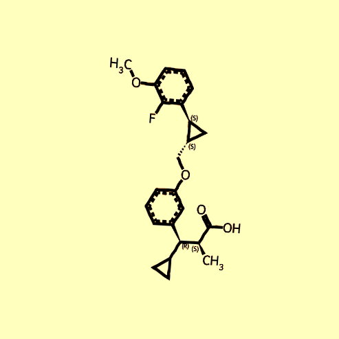 COc1cccc([C@H]2C[C@@H]2COc2cccc([C@H](C3CC3)[C@H](C)C(=O)O)c2)c1F